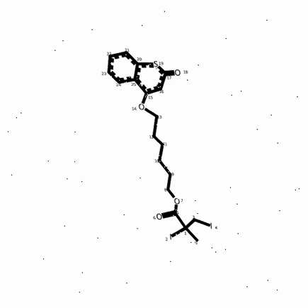 CC(I)(CI)C(=O)OCCCCCCOc1cc(=O)sc2ccccc12